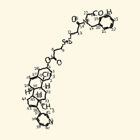 C[C@]12CC[C@H](OC(=O)CCSSCCC(=O)N(CC(=O)O)Cc3ccccc3)CC1=CC[C@@H]1[C@@H]2CC[C@]2(C)C(c3cccnc3)=CC[C@@H]12